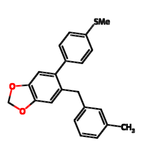 CSc1ccc(-c2cc3c(cc2Cc2cccc(C)c2)OCO3)cc1